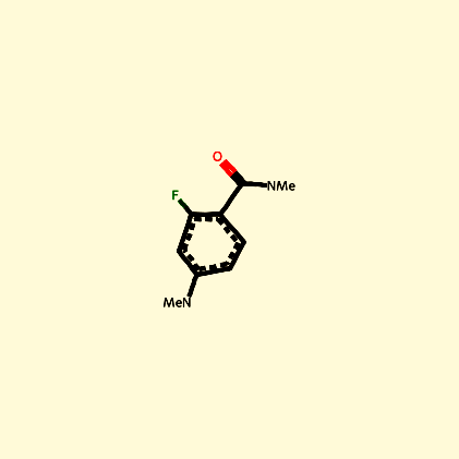 CNC(=O)c1ccc(NC)cc1F